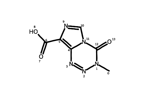 Cn1nnc2c(C(=O)O)ncn2c1=O